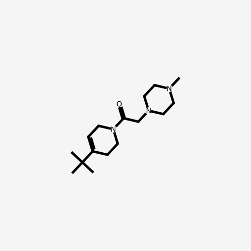 CN1CCN(CC(=O)N2CC=C(C(C)(C)C)CC2)CC1